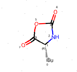 CCC(C)[C@H]1NC(=O)OC1=O